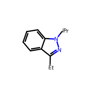 CCc1nn(C(C)C)c2ccccc12